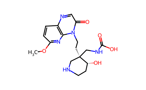 COc1ccc2ncc(=O)n(CC[C@@]3(CNC(=O)O)CNCC[C@H]3O)c2n1